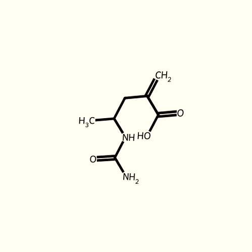 C=C(CC(C)NC(N)=O)C(=O)O